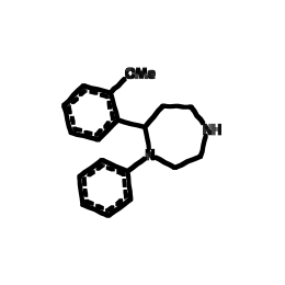 COc1ccccc1C1CCNCCN1c1ccccc1